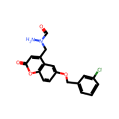 NN(C=O)Cc1cc(=O)oc2ccc(OCc3cccc(Cl)c3)cc12